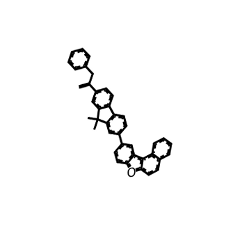 C=C(Cc1ccccc1)c1ccc2c(c1)C(C)(C)c1cc(-c3ccc4oc5ccc6ccccc6c5c4c3)ccc1-2